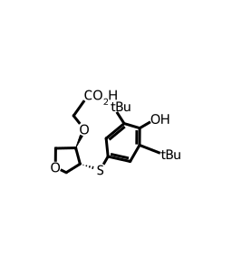 CC(C)(C)c1cc(S[C@@H]2COC[C@H]2OCC(=O)O)cc(C(C)(C)C)c1O